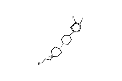 CC(C)CC[Si@H]1CC[C@H](C2CCC(c3ccc(F)c(F)c3)CC2)CC1